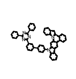 c1ccc(-c2nc(-c3ccccc3)nc(-c3cccc(-c4ccc(-n5c6ccccc6c6cc7c8ccccc8c8cc9ccccc9n8c7cc65)cc4)c3)n2)cc1